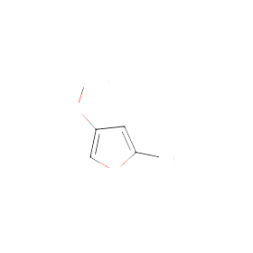 Cc1cc(OC(=O)O)co1